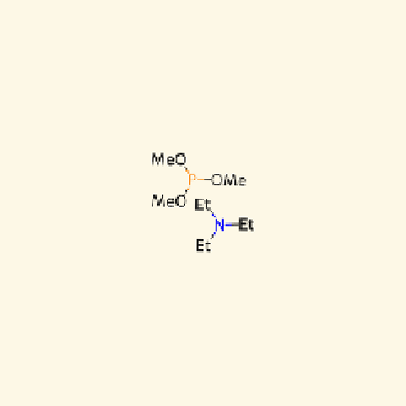 CCN(CC)CC.COP(OC)OC